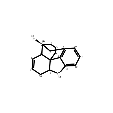 C1=CC2[C@@H]3CCCC24c2c(cccc2OC4C1)C3